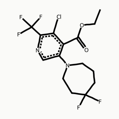 CCOC(=O)c1c(N2CCCC(F)(F)CC2)cnc(C(F)(F)F)c1Cl